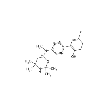 CN(c1cnc(C2=C(O)CCC(F)=C2)nn1)[C@H]1CC(C)(C)NC(C)(C)O1